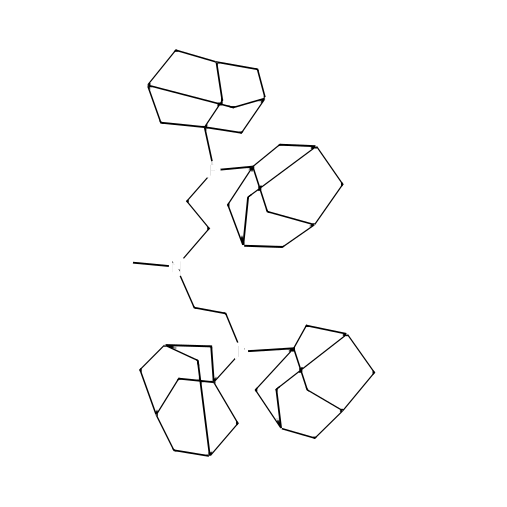 CN(CCP(C12CC3CC(CC(C3)C1)C2)C12CC3CC(CC(C3)C1)C2)CCP(C12CC3CC(CC(C3)C1)C2)C12CC3CC(CC(C3)C1)C2